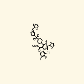 CNC(=O)C1=C(C2CCN(S(=O)(=O)c3cnn(Cc4ncco4)c3)CC2)NC(c2nccs2)=N[C@@H]1c1ccc(F)c(F)c1Cl